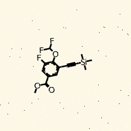 COC(=O)c1cc(F)c(OC(F)F)c(C#C[Si](C)(C)C)c1